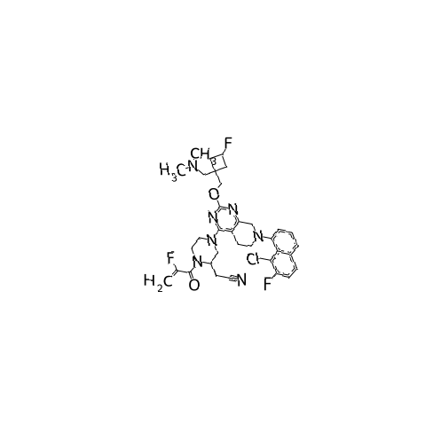 C=C(F)C(=O)N1CCN(c2nc(OCC3(CN(C)C)CC(F)C3)nc3c2CCN(c2cccc4ccc(F)c(Cl)c24)C3)CC1CC#N